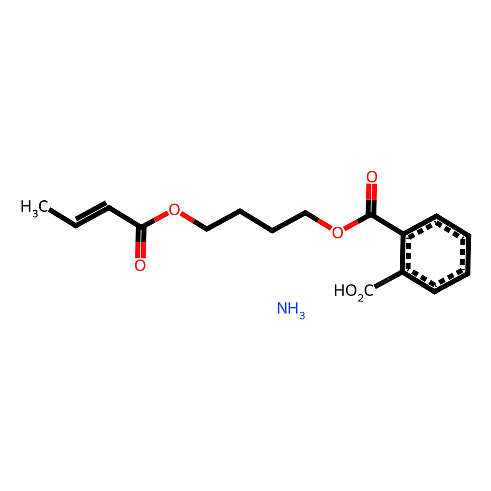 CC=CC(=O)OCCCCOC(=O)c1ccccc1C(=O)O.N